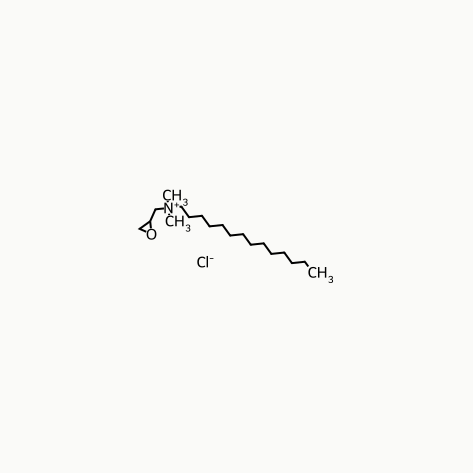 CCCCCCCCCCCCCC[N+](C)(C)CC1CO1.[Cl-]